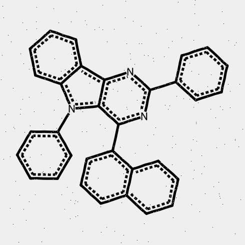 c1ccc(-c2nc(-c3cccc4ccccc34)c3c(n2)c2ccccc2n3-c2ccccc2)cc1